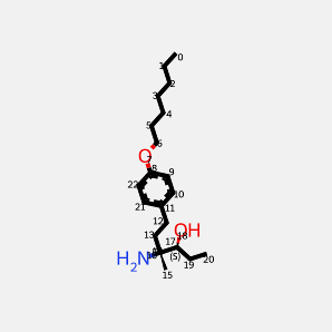 CCCCCCCOc1ccc(CC[C@@](C)(N)[C@@H](O)CC)cc1